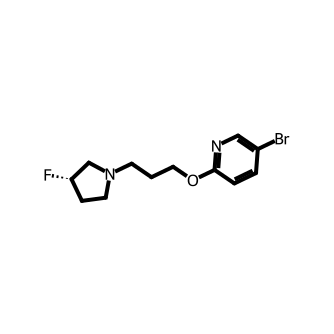 F[C@H]1CCN(CCCOc2ccc(Br)cn2)C1